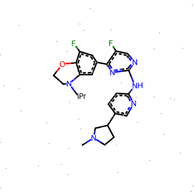 CC(C)N1CCOc2c(F)cc(-c3nc(Nc4ccc(C5CCN(C)C5)cn4)ncc3F)cc21